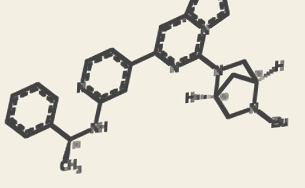 CCC(C)N1C[C@@H]2C[C@H]1CN2c1nc(-c2ccnc(N[C@@H](C)c3ccccc3)c2)cc2nccn12